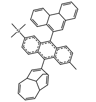 CCC1C2C=CC=CC1C=C(c1c3cc(C)ccc3c(C3=C4C=CC=CC4C4C=CC=CC4=C3)c3cc([Si](C)(C)C)ccc13)C=C2